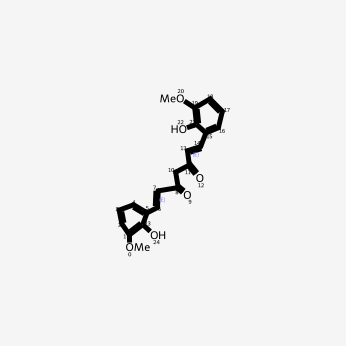 COc1cccc(/C=C/C(=O)CC(=O)/C=C/c2cccc(OC)c2O)c1O